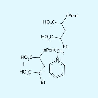 CCCCCC(CC(CC)C(=O)O)C(=O)O.CCCCCC(CC(CC)C(=O)O)C(=O)O.C[n+]1ccccc1.[I-]